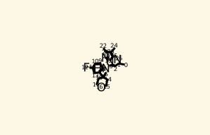 Cc1cc(NCC2(c3cccc(F)c3)CCOCC2)n2nc(C)c(C)c2n1